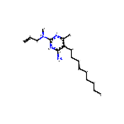 C=CCN(C)c1nc(C)c(CCCCCCCCC)c(N)n1